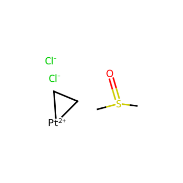 CS(C)=O.[CH2]1[CH2][Pt+2]1.[Cl-].[Cl-]